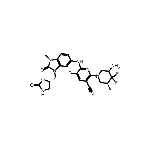 C[C@H]1CN(c2nc(Nc3ccc4c(c3)n(C[C@@H]3CNC(=O)O3)c(=O)n4C)c(F)cc2C#N)C[C@@H](N)C1(F)F